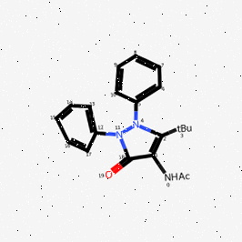 CC(=O)Nc1c(C(C)(C)C)n(-c2ccccc2)n(-c2ccccc2)c1=O